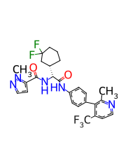 Cc1nccc(C(F)(F)F)c1-c1ccc(NC(=O)C(NC(=O)c2ccnn2C)[C@H]2CCCC(F)(F)C2)cc1